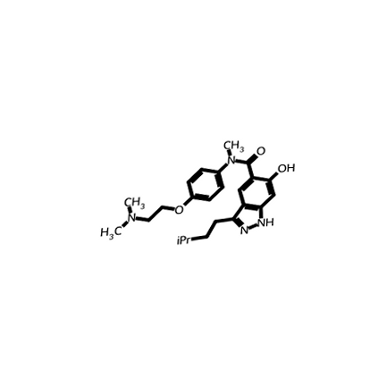 CC(C)CCc1n[nH]c2cc(O)c(C(=O)N(C)c3ccc(OCCN(C)C)cc3)cc12